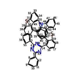 c1ccc(-c2nc(-c3ccccc3)nc(-c3cccc4sc5ccc(-c6cccc7sc8cccc(-n9c%10ccccc%10c%10ccccc%109)c8c67)cc5c34)n2)cc1